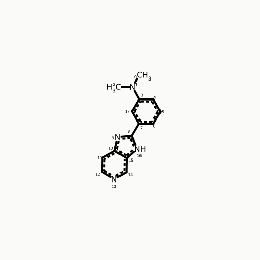 CN(C)c1cccc(-c2nc3ccncc3[nH]2)c1